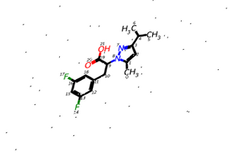 Cc1cc(C(C)C)nn1C(Cc1cc(F)cc(F)c1)C(=O)O